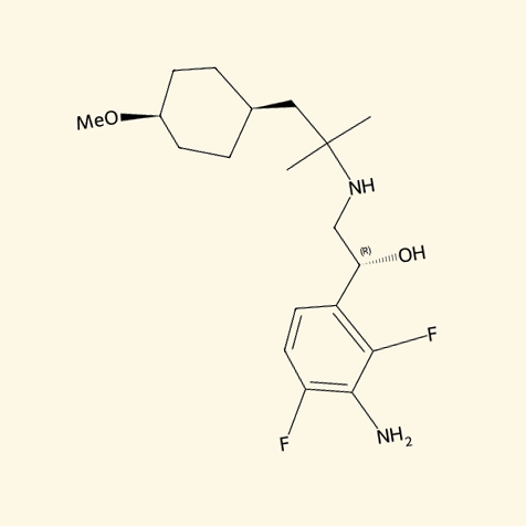 CO[C@H]1CC[C@@H](CC(C)(C)NC[C@H](O)c2ccc(F)c(N)c2F)CC1